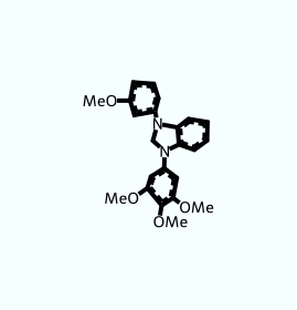 COc1cccc(N2CN(c3cc(OC)c(OC)c(OC)c3)c3ccccc32)c1